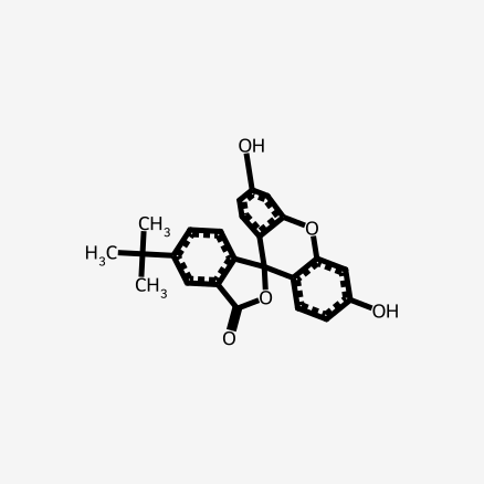 CC(C)(C)c1ccc2c(c1)C(=O)OC21c2ccc(O)cc2Oc2cc(O)ccc21